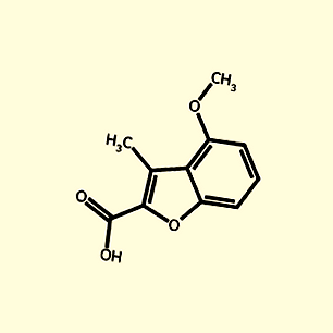 COc1cccc2oc(C(=O)O)c(C)c12